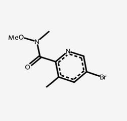 CON(C)C(=O)c1ncc(Br)cc1C